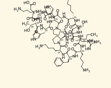 CC[C@H](C)[C@H](NC(=O)[C@H](CS)NC(=O)[C@@H]1CCCN1C(=O)[C@H](Cc1ccccc1)NC(=O)[C@H](Cc1c[nH]cn1)NC(=O)[C@@H](NC(=O)[C@@H](N)CC(=O)O)[C@@H](C)O)C(=O)N[C@@H](CCCCN)C(=O)N[C@@H](Cc1ccccc1)C(=O)N[C@@H](CCCCN)C(=O)N1CCC[C@H]1C(=O)N[C@@H](CCCNC(=N)N)C(=O)N[C@@H](CO)C(=O)N[C@@H](CCCCN)C(=O)NCC(=O)N[C@@H](CS)C(=O)N[C@@H](CCCCN)C(=O)O